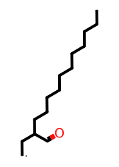 [CH2]CC(C=O)CCCCCCCCCCC